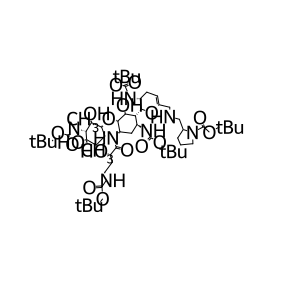 CN(C(=O)OC(C)(C)C)[C@@H]1[C@@H](O)[C@@H](O[C@H]2[C@H](NC(=O)[C@@H](O)CCNC(=O)OC(C)(C)C)C[C@H](NC(=O)OC(C)(C)C)C([C@H]3OC(CNCC4CCCN4C(=O)OC(C)(C)C)=CC[C@H]3NC(=O)OC(C)(C)C)[C@@H]2O)CC[C@]1(C)O